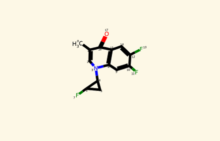 Cc1cn(C2CC2F)c2cc(F)c(F)cc2c1=O